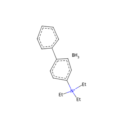 B.CC[N+](CC)(CC)c1ccc(-c2ccccc2)cc1